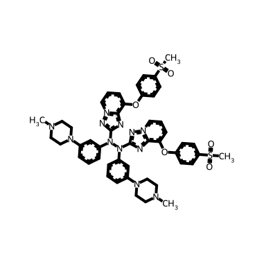 CN1CCN(c2cccc(N(c3nc4c(Oc5ccc(S(C)(=O)=O)cc5)cccn4n3)N(c3cccc(N4CCN(C)CC4)c3)c3nc4c(Oc5ccc(S(C)(=O)=O)cc5)cccn4n3)c2)CC1